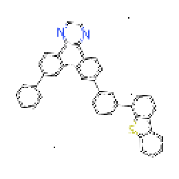 c1ccc(-c2ccc3c(c2)c2cc(-c4cccc(-c5cccc6c5sc5ccccc56)c4)ccc2c2nccnc32)cc1